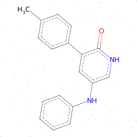 Cc1ccc(-c2cc(Nc3ccccc3)c[nH]c2=O)cc1